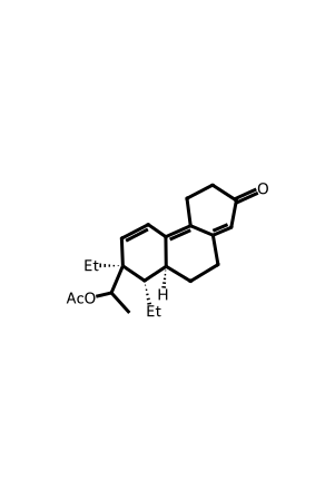 CC[C@H]1[C@@H]2CCC3=CC(=O)CCC3=C2C=C[C@]1(CC)C(C)OC(C)=O